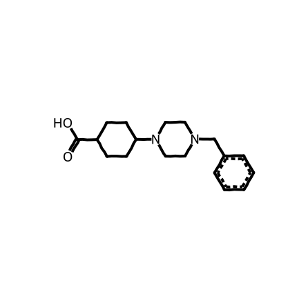 O=C(O)C1CCC(N2CCN(Cc3ccccc3)CC2)CC1